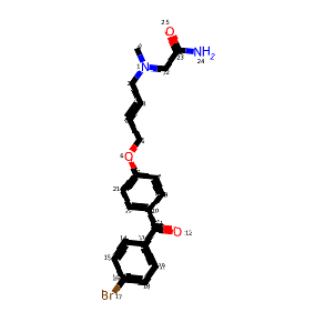 CN(CC=CCOc1ccc(C(=O)c2ccc(Br)cc2)cc1)CC(N)=O